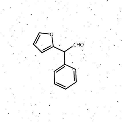 O=CC(c1ccccc1)c1ccco1